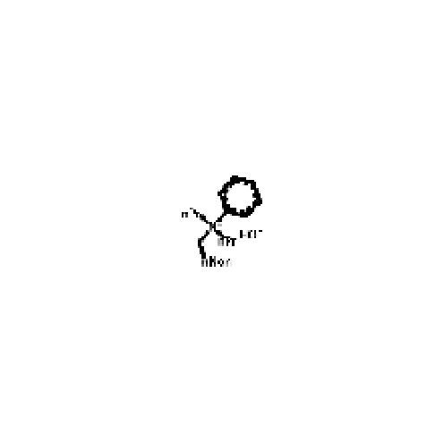 CCCCCCCCCC[N+](CCC)(CCC)c1ccccc1.[OH-]